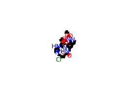 CC(C)(C)OC(=O)N(C(=O)OC(C)(C)C)c1nccc2cc(CNC(=O)c3cc(Cl)c(CN4CC[C@@H](Nc5cccnc5)C4)s3)ccc12